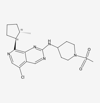 C[C@H]1CCC[C@@H]1c1ncc(Cl)c2cnc(NC3CCN(S(C)(=O)=O)CC3)nc12